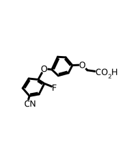 N#Cc1ccc(Oc2ccc(OCC(=O)O)cc2)c(F)c1